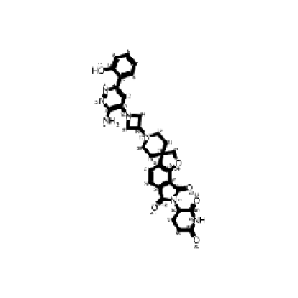 Nc1nnc(-c2ccccc2O)cc1N1CC(N2CCC3(CC2)COc2c3ccc3c2C(=O)N(C2CCC(=O)NC2=O)C3=O)C1